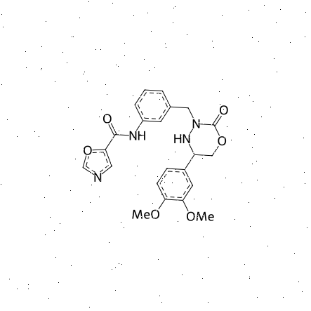 COc1ccc(C2COC(=O)N(Cc3cccc(NC(=O)c4cnco4)c3)N2)cc1OC